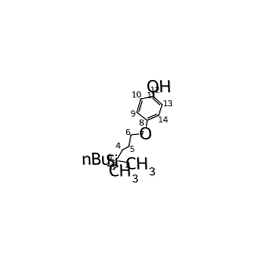 CCCC[Si](C)(C)CCCOc1ccc(O)cc1